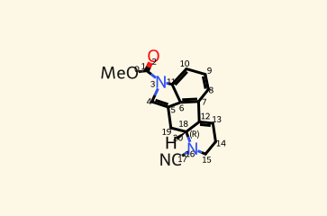 COC(=O)n1cc2c3c(cccc31)C1=CCCN(C#N)[C@@H]1C2